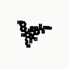 CC/C=C/C[C@H](NC(=O)c1ccc2c(c1)CCNC2)c1nc(-c2ccc(NC(=O)OC)cc2NC=O)c(Cl)[nH]1